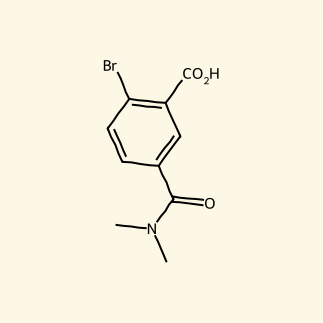 CN(C)C(=O)c1ccc(Br)c(C(=O)O)c1